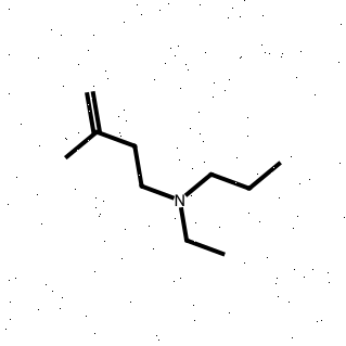 C=C(C)CCN(CC)CCC